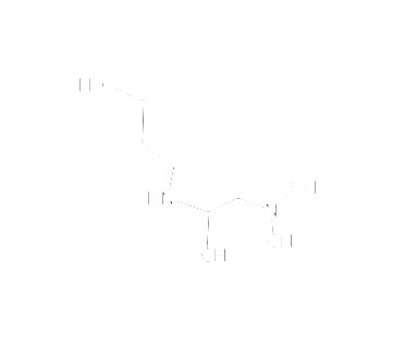 CCCCNC(C)CN(C)C